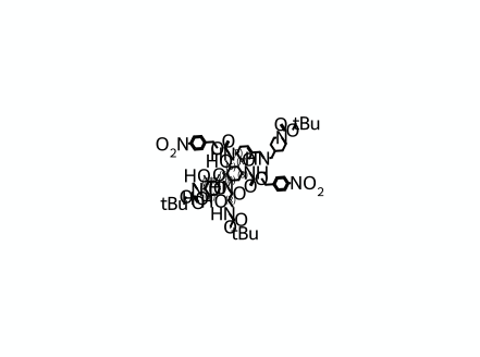 CN(C(=O)OC(C)(C)C)[C@@H]1[C@@H](O)[C@@H](O[C@H]2[C@H](NC(=O)[C@H](O)CNC(=O)OC(C)(C)C)C[C@H](NC(=O)OCc3ccc([N+](=O)[O-])cc3)C([C@H]3OC(CNCC4CCN(C(=O)OC(C)(C)C)CC4)=CC[C@H]3NC(=O)OCc3ccc([N+](=O)[O-])cc3)[C@@H]2O)OC[C@]1(C)O